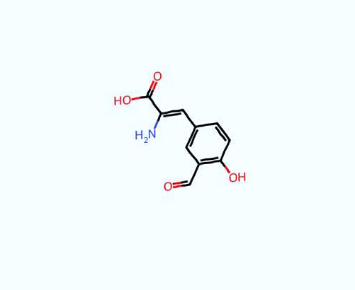 N/C(=C\c1ccc(O)c(C=O)c1)C(=O)O